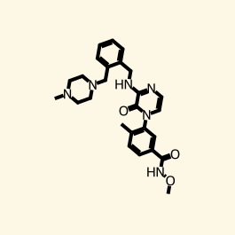 CONC(=O)c1ccc(C)c(-n2ccnc(NCc3ccccc3CN3CCN(C)CC3)c2=O)c1